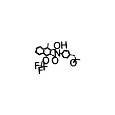 CC(=O)Cc1ccc(N2C(=O)c3c(c(C)c4ccccc4c3OCC(F)(F)F)C2O)cc1